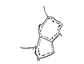 Cc1cnc2nnn(C)c2c1